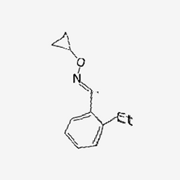 CCc1ccccc1/[C]=N/OC1CC1